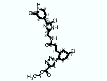 CCOC(=O)c1cn(-c2ccc(Cl)cc2/C=C/C(=O)NCc2nc(-c3cc[nH]c(=O)c3)c(Cl)[nH]2)nn1